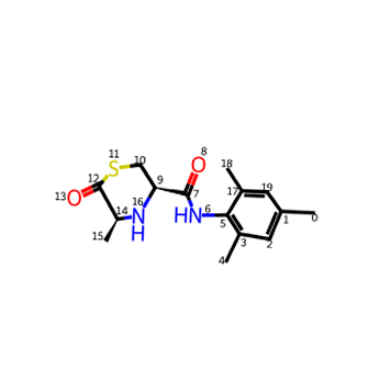 Cc1cc(C)c(NC(=O)[C@@H]2CSC(=O)[C@H](C)N2)c(C)c1